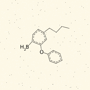 Bc1ccc(CCCC)cc1Oc1ccccc1